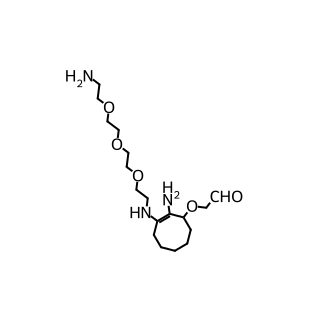 NCCOCCOCCOCCN/C1=C(\N)C(OCC=O)CCCCC1